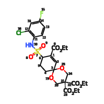 CCOC(=O)C1=CC2(CCC1S(=O)(=O)Nc1ccc(F)cc1Cl)OCC(C(=O)OCC)(C(=O)OCC)CO2